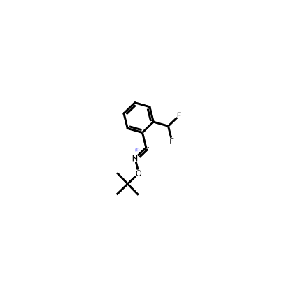 CC(C)(C)O/N=[C]/c1ccccc1C(F)F